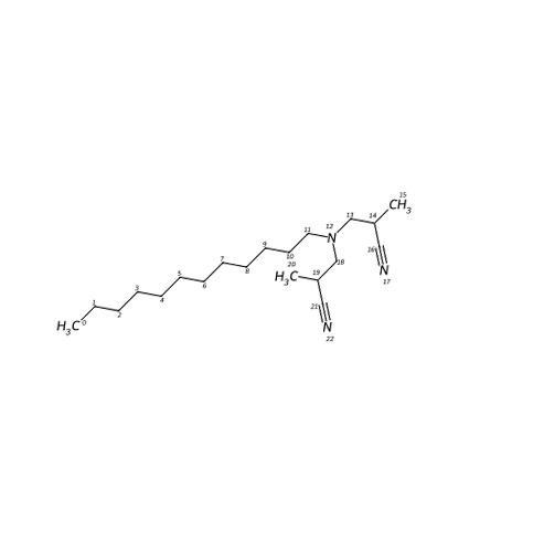 CCCCCCCCCCCCN(CC(C)C#N)CC(C)C#N